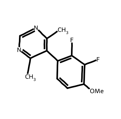 COc1ccc(-c2c(C)ncnc2C)c(F)c1F